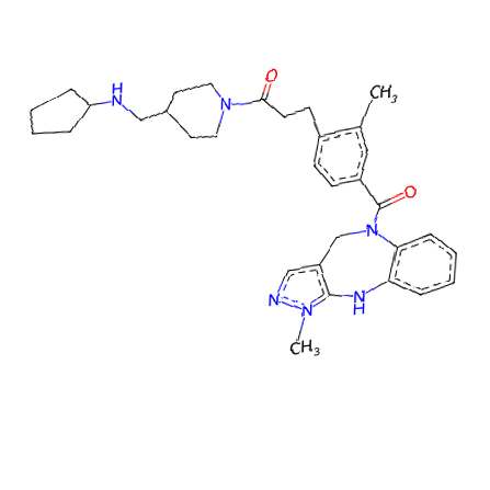 Cc1cc(C(=O)N2Cc3cnn(C)c3Nc3ccccc32)ccc1CCC(=O)N1CCC(CNC2CCCC2)CC1